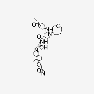 CCC(=O)N1CCC(NC2CC(C(=O)NC[C@H](O)CN3CCc4c(ccc(OCc5cnco5)c4C)C3)CCN2C2CCCCCCCCC2)CC1